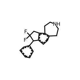 FC1(F)Cc2c(ccc3c2CCNCC3)C1c1ccccc1